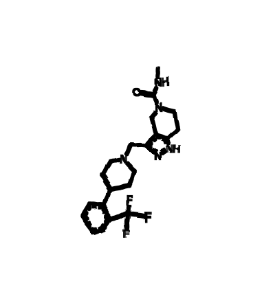 CNC(=O)N1CCc2[nH]nc(CN3CCC(c4ccccc4C(F)(F)F)CC3)c2C1